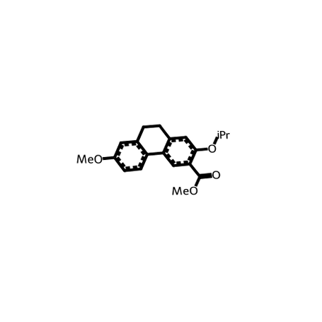 COC(=O)c1cc2c(cc1OC(C)C)CCc1cc(OC)ccc1-2